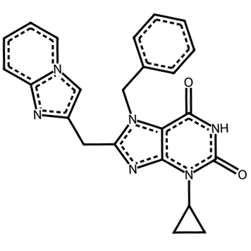 O=c1[nH]c(=O)n(C2CC2)c2nc(Cc3cn4ccccc4n3)n(Cc3ccccc3)c12